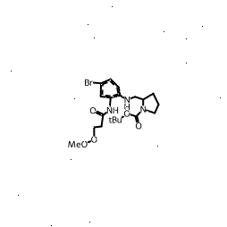 COOCCC(=O)Nc1cc(Br)ccc1NCC1CCCN1C(=O)OC(C)(C)C